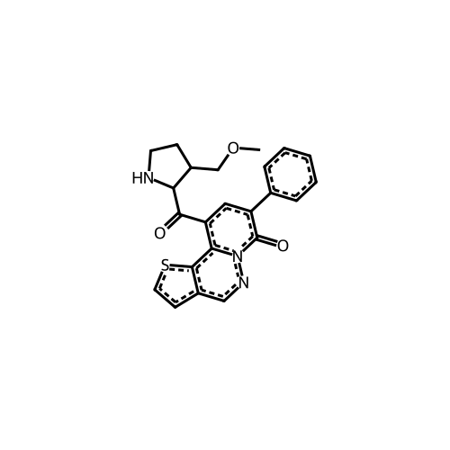 COCC1CCNC1C(=O)c1cc(-c2ccccc2)c(=O)n2ncc3ccsc3c12